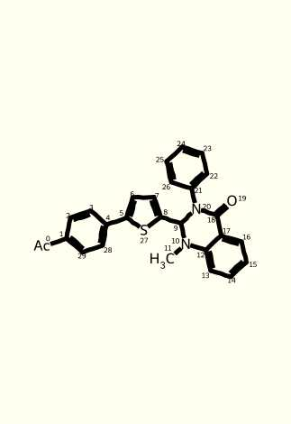 CC(=O)c1ccc(-c2ccc(C3N(C)c4ccccc4C(=O)N3c3ccccc3)s2)cc1